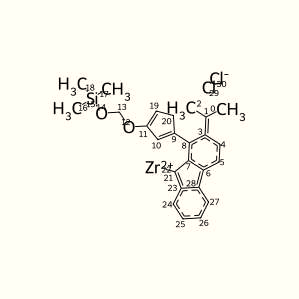 CC(C)=c1ccc2c(c1C1=CC(OCO[Si](C)(C)C)=CC1)[C]([Zr+2])=c1ccccc1=2.[Cl-].[Cl-]